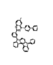 Cc1ccc2nc(-c3cccc(-n4c5ccccc5c5c6c7ccccc7n(-c7ccccc7)c6ccc54)c3)nc(-c3ccc(-c4ccccc4)cc3)c2c1